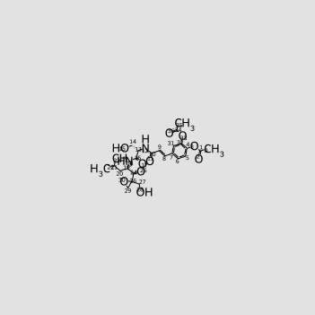 CC(=O)Oc1ccc(/C=C/C(=O)N[C@@H](CO)C(=O)NC(CC(C)C)C(=O)C2(CO)CO2)cc1OC(C)=O